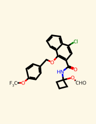 O=COC1(NC(=O)c2cc(Cl)c3ccccc3c2OCc2ccc(OC(F)(F)F)cc2)CCC1